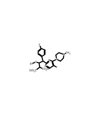 CCOC(=O)C(C(=O)OCC)C(OCC)C(c1ccc(F)cc1)c1ncc(F)c(N2CCN(C)CC2)n1